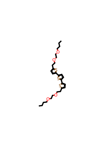 CCCCOCCOCCc1ccc(-c2ccc(-c3ccc(CCOCCOCCCC)s3)s2)s1